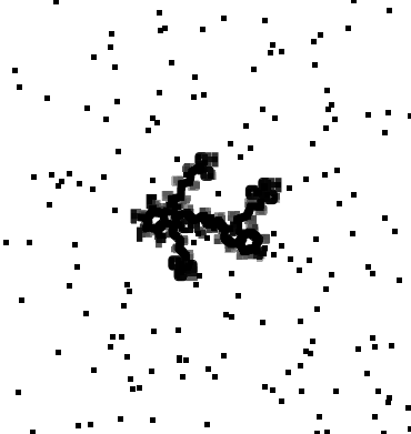 CC1(CCCCS(=O)(=O)O)C(/C=C/C=C/C=C2\C=Cc3cc(F)ccc3N2CCCCS(=O)(=O)O)=[N+](CCCCCC(=O)O)c2c(F)c(F)c(F)c(F)c21